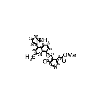 COC(=O)Cc1cncc(Cl)c1COc1cccc2c(-c3ccnn3C)cc(C)nc12